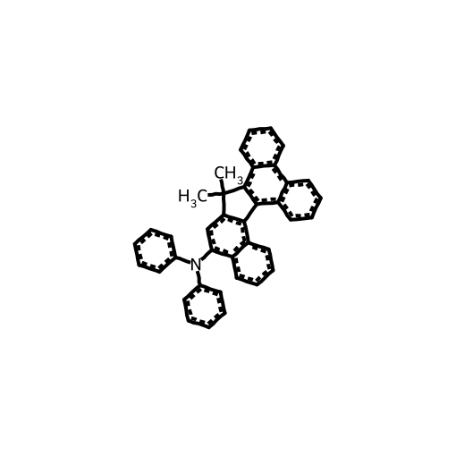 CC1(C)c2cc(N(c3ccccc3)c3ccccc3)c3ccccc3c2-c2c1c1ccccc1c1ccccc21